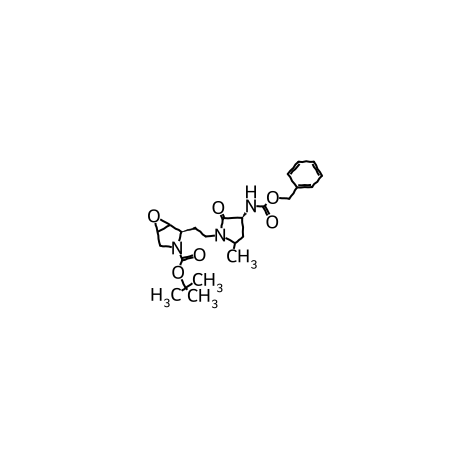 CC1C[C@H](NC(=O)OCc2ccccc2)C(=O)N1CC[C@@H]1C2OC2CN1C(=O)OC(C)(C)C